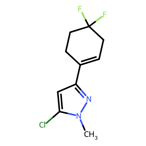 Cn1nc(C2=CCC(F)(F)CC2)cc1Cl